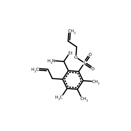 C=CCOS(=O)(=O)c1c(C)c(C)c(C)c(CC=C)c1C(N)CC